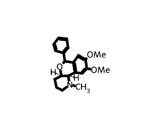 COc1cc2c(cc1OC)[C@@H]1[C@@H](CCCN1C)OC2c1ccccc1